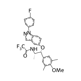 COc1c(C)cc([C@@H](Oc2ccc3c(cnn3-c3ccc(F)cc3)c2)[C@H](C)NC(=O)C(F)(F)F)cc1C